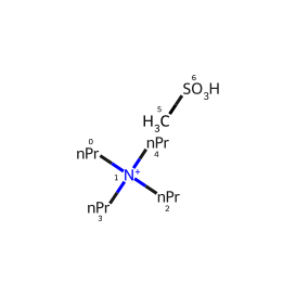 CCC[N+](CCC)(CCC)CCC.CS(=O)(=O)O